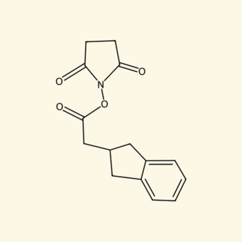 O=C(CC1Cc2ccccc2C1)ON1C(=O)CCC1=O